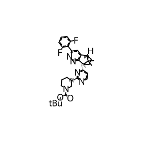 CC(C)(C)OC(=O)N1CCC[C@@H](c2nccc([C@]34CC[C@@H](c5cc(-c6c(F)cccc6F)nnc53)C4(C)C)n2)C1